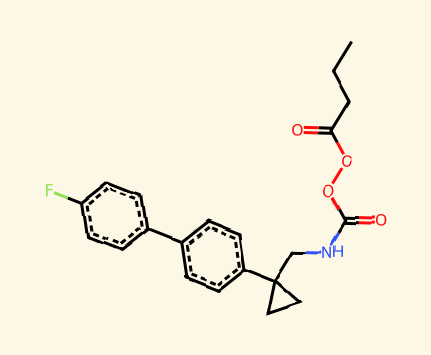 CCCC(=O)OOC(=O)NCC1(c2ccc(-c3ccc(F)cc3)cc2)CC1